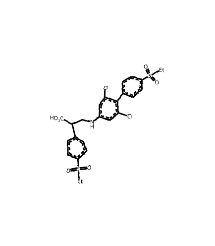 CCS(=O)(=O)c1ccc(-c2c(Cl)cc(NCC(C(=O)O)c3ccc(S(=O)(=O)CC)cc3)cc2Cl)cc1